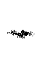 C[C@H](CO)NC(=O)C#Cc1ccc2c(c1)NC(=O)/C2=C(\Nc1ccc(CN(C)C)cc1)c1ccccc1